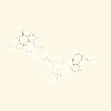 CC[C@]1(COP)O[C@@H](n2cnc3c(N)ncnc32)[C@H](OC)[C@@H]1CCPOC1C[C@@H](OO)[C@H](n2nnc3c(=O)[nH]c(N)nc32)O1